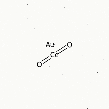 [Au].[O]=[Ce]=[O]